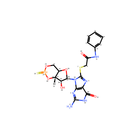 Nc1nc2c(nc(SCC(=O)Nc3ccccc3)n2[C@@H]2OC3CO[PH](=S)O[C@H]3[C@@H]2O)c(=O)[nH]1